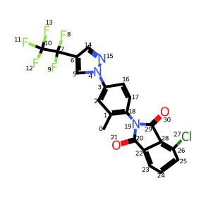 Cc1cc(-n2cc(C(F)(F)C(F)(F)F)cn2)ccc1N1C(=O)c2cccc(Cl)c2C1=O